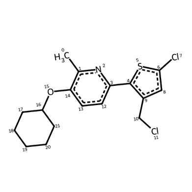 Cc1nc(-c2sc(Cl)cc2CCl)ccc1OC1CCCCC1